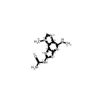 CNc1nc2sc(NC(N)=O)nc2c2c1ncn2C